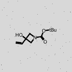 C=CC1(O)CN(C(=O)OC(C)(C)C)C1